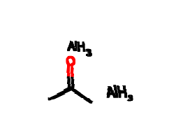 CC(C)=O.[AlH3].[AlH3]